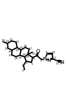 CCC1CC(C(=O)Cn2ccc(C#N)n2)C2(C)CCC3C4CCC(C)CC4CCC3C12